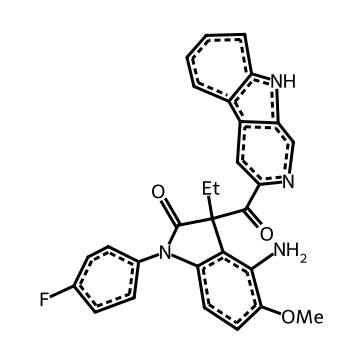 CCC1(C(=O)c2cc3c(cn2)[nH]c2ccccc23)C(=O)N(c2ccc(F)cc2)c2ccc(OC)c(N)c21